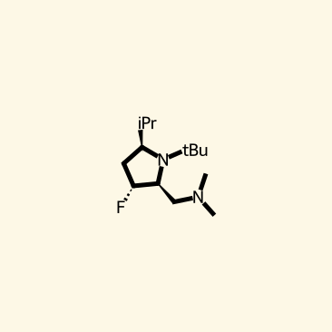 CC(C)[C@@H]1C[C@@H](F)[C@H](CN(C)C)N1C(C)(C)C